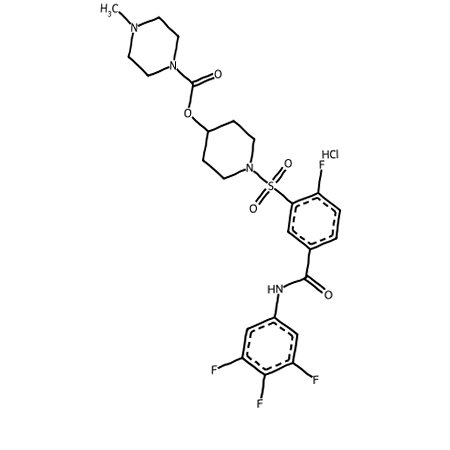 CN1CCN(C(=O)OC2CCN(S(=O)(=O)c3cc(C(=O)Nc4cc(F)c(F)c(F)c4)ccc3F)CC2)CC1.Cl